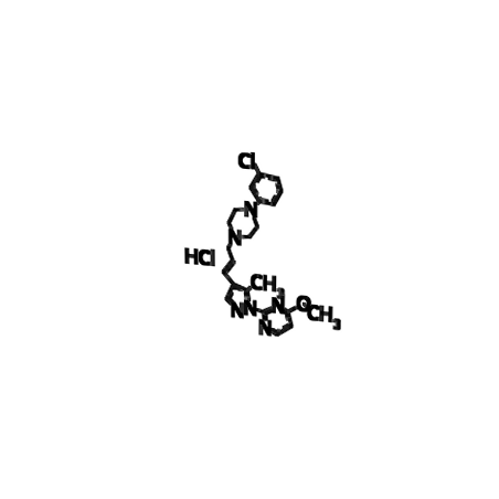 COc1ccnc(-n2ncc(C=CCN3CCN(c4cccc(Cl)c4)CC3)c2C)n1.Cl